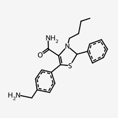 CCCCN1C(C(N)=O)=C(c2ccc(CN)cc2)SC1c1ccccc1